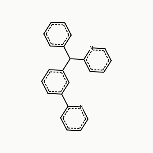 c1ccc(C(c2cccc(-c3ccccn3)c2)c2ccccn2)cc1